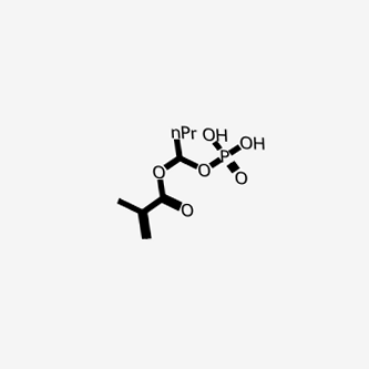 C=C(C)C(=O)OC(CCC)OP(=O)(O)O